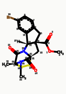 COC(=O)[C@]12Cc3ccc(Br)cc3[C@@H]1N1C(=O)[C@]3(C)SS[C@@]1(C2)C(=O)N3C